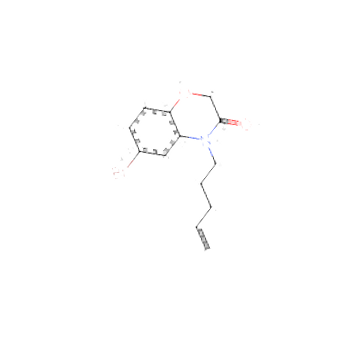 C=CCCCN1C(=O)COc2ccc(Br)cc21